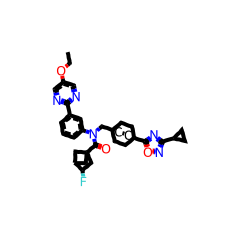 CCOc1cnc(-c2cccc(N(CC34CCC(c5nc(C6CC6)no5)(CC3)CC4)C(=O)C34CC(F)C(C3)C4)c2)nc1